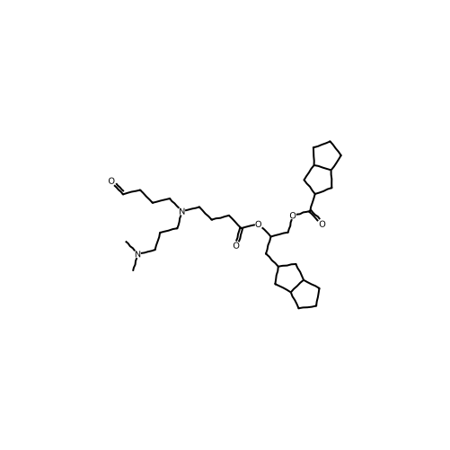 CN(C)CCCN(CCCC=O)CCCC(=O)OC(COC(=O)C1CC2CCCC2C1)CC1CC2CCCC2C1